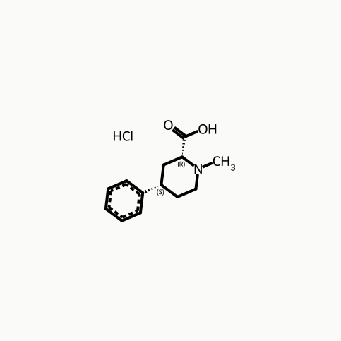 CN1CC[C@H](c2ccccc2)C[C@@H]1C(=O)O.Cl